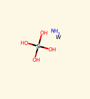 N.O[Si](O)(O)O.[W]